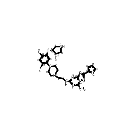 Nc1nc(NCCN2CCN(c3cc(O[C@@H]4CNC[C@@H]4F)c(F)cc3F)CC2)nc2nc(-c3ccco3)nn12